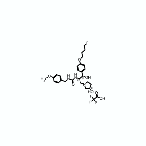 COc1ccc(CNC(=O)N[C@H](CN2CC[C@@H](O)C2)[C@H](O)c2ccc(OCCCCF)cc2)cc1.O=C(O)C(F)(F)F